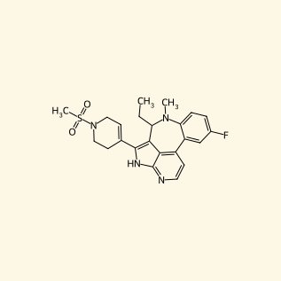 CCC1c2c(C3=CCN(S(C)(=O)=O)CC3)[nH]c3nccc(c23)-c2cc(F)ccc2N1C